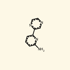 Nc1cccc(-c2cnccn2)n1